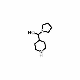 OC(C1CCNCC1)N1CCCC1